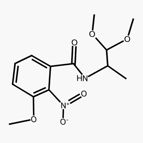 COc1cccc(C(=O)NC(C)C(OC)OC)c1[N+](=O)[O-]